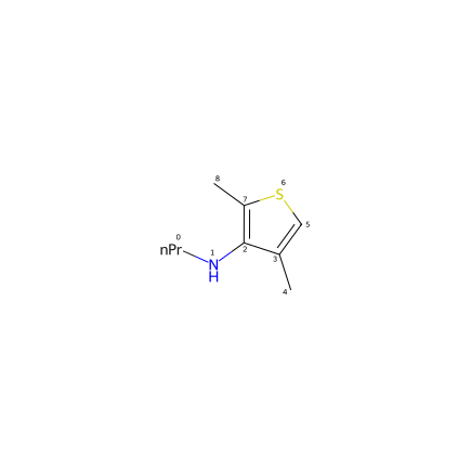 CCCNc1c(C)csc1C